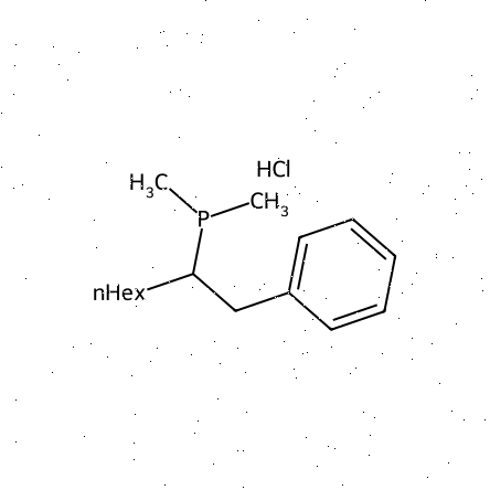 CCCCCCC(Cc1ccccc1)P(C)C.Cl